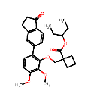 CCC(CC)OC(=O)C1(COc2c(-c3ccc4c(c3)CCC4=O)ccc(OC)c2OC)CCC1